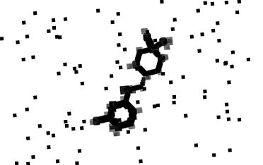 O=c1nc(NC[C@H]2COP(=O)(O)CO2)cc[nH]1